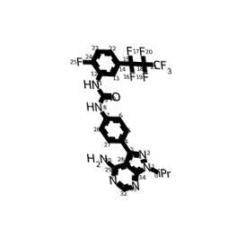 CC(C)n1nc(-c2ccc(NC(=O)Nc3cc(C(F)(F)C(F)(F)C(F)(F)F)ccc3F)cc2)c2c(N)ncnc21